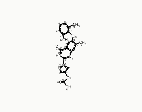 Cc1cc2nc(-n3cc(OC(=O)O)cn3)[nH]c(=O)c2cc1Oc1c(C)cccc1C